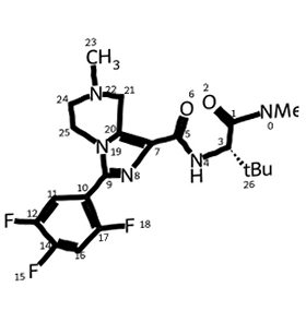 CNC(=O)[C@@H](NC(=O)c1nc(-c2cc(F)c(F)cc2F)n2c1CN(C)CC2)C(C)(C)C